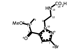 CON(C)C(=O)c1cc(Br)nn1CCNC(=O)O